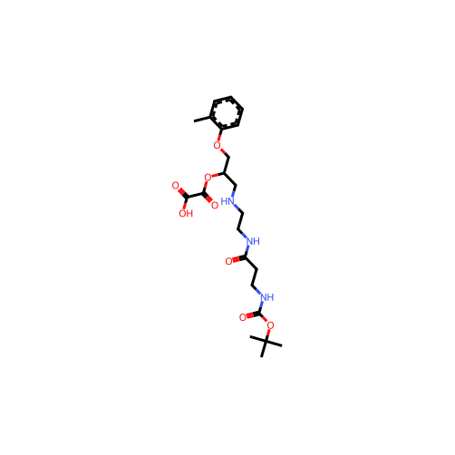 Cc1ccccc1OCC(CNCCNC(=O)CCNC(=O)OC(C)(C)C)OC(=O)C(=O)O